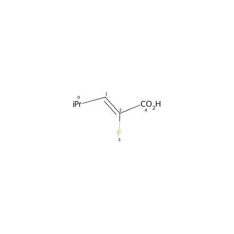 CC(C)/C=C(\F)C(=O)O